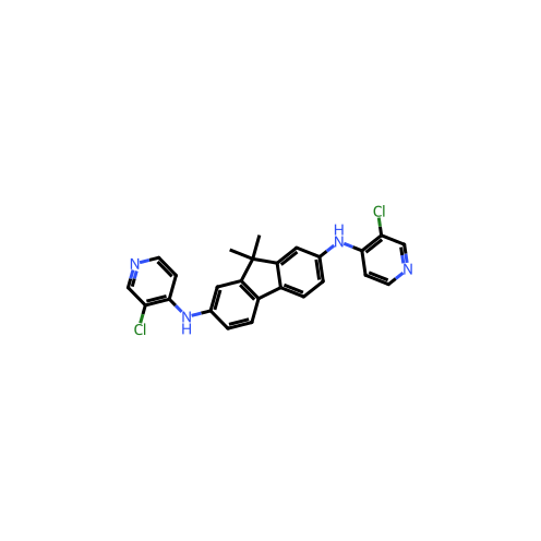 CC1(C)c2cc(Nc3ccncc3Cl)ccc2-c2ccc(Nc3ccncc3Cl)cc21